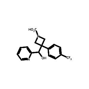 O=C(O)N1CC(c2ccc(C(F)(F)F)cc2)(C(O)c2ccccn2)C1